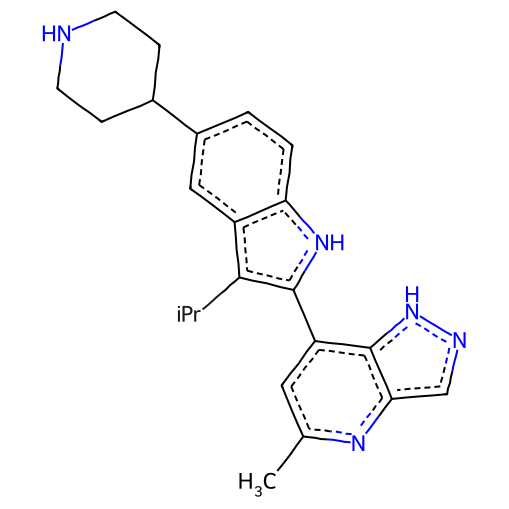 Cc1cc(-c2[nH]c3ccc(C4CCNCC4)cc3c2C(C)C)c2[nH]ncc2n1